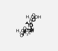 CN(CC1COC1)C(=O)OCc1c(-c2ccc(O[C@H]3CCC[C@](C)(C(=O)O)C3)c(C3CC3)n2)nnn1C